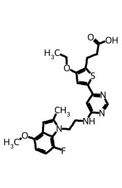 CCOc1cc(-c2cc(NCCn3c(C)cc4c(OC)ccc(F)c43)ncn2)sc1CCC(=O)O